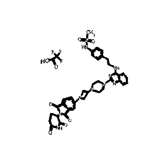 CS(=O)(=O)Nc1ccc(CCNc2nc(N3CCN(C4CN(c5ccc6c(c5)C(=O)N(C5CCC(=O)NC5=O)C6=O)C4)CC3)nc3ccccc23)cc1.O=C(O)C(F)(F)F